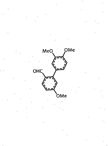 COc1ccc(C=O)c(-c2ccc(OC)c(OC)c2)c1